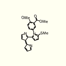 COC(=O)c1cc(-n2c(SC)ccc2C2=NC=CC2=C2C=CC=N2)ccc1OC